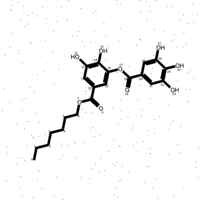 CCCCCCCOC(=O)c1cc(O)c(O)c(OC(=O)c2cc(O)c(O)c(O)c2)c1